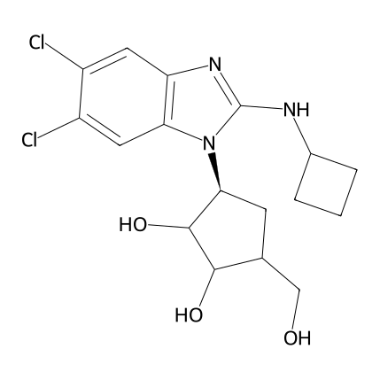 OCC1C[C@H](n2c(NC3CCC3)nc3cc(Cl)c(Cl)cc32)C(O)C1O